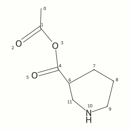 CC(=O)OC(=O)C1CCCNC1